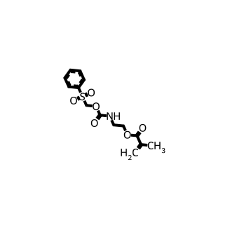 C=C(C)C(=O)OCCNC(=O)OCS(=O)(=O)c1ccccc1